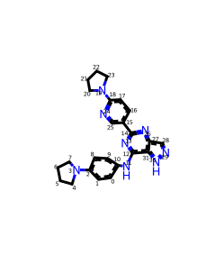 c1cc(N2CCCC2)ccc1Nc1nc(-c2ccc(N3CCCC3)nc2)nc2cn[nH]c12